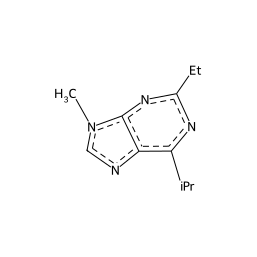 CCc1nc(C(C)C)c2ncn(C)c2n1